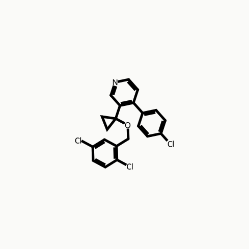 Clc1ccc(-c2ccncc2C2(OCc3cc(Cl)ccc3Cl)CC2)cc1